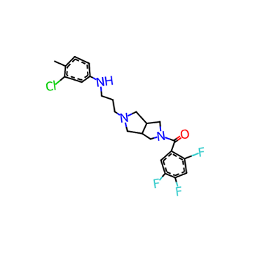 Cc1ccc(NCCCN2CC3CN(C(=O)c4cc(F)c(F)cc4F)CC3C2)cc1Cl